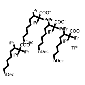 CCCCCCCCCCCCCCCC(C(C)C)C(C(=O)[O-])(C(C)C)C(C)C.CCCCCCCCCCCCCCCC(C(C)C)C(C(=O)[O-])(C(C)C)C(C)C.CCCCCCCCCCCCCCCC(C(C)C)C(C(=O)[O-])(C(C)C)C(C)C.CCCCCCCCCCCCCCCC(C(C)C)C(C(=O)[O-])(C(C)C)C(C)C.[Ti+4]